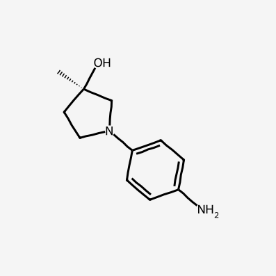 C[C@@]1(O)CCN(c2ccc(N)cc2)C1